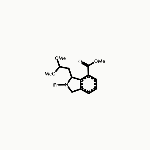 COC(=O)c1cccc2c1C(CC(OC)OC)N(C(C)C)C2